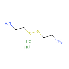 Cl.Cl.NCCSSCCN